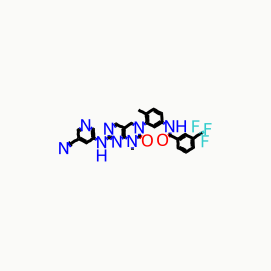 Cc1ccc(NC(=O)c2cccc(C(F)(F)F)c2)cc1N1Cc2cnc(Nc3cncc(C#N)c3)nc2N(C)C1=O